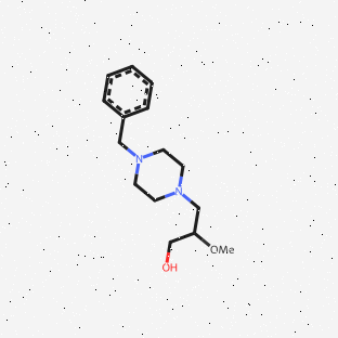 COC(CO)CN1CCN(Cc2ccccc2)CC1